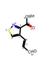 COC(=O)c1nscc1/C=C/C=O